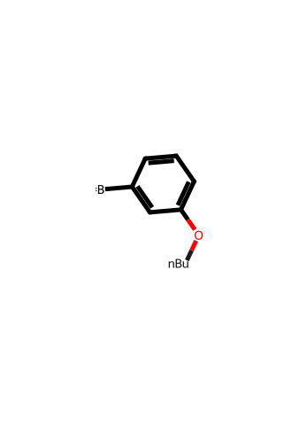 [B]c1cccc(OCCCC)c1